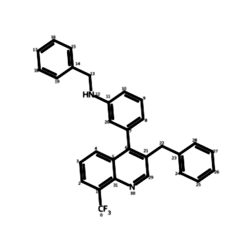 FC(F)(F)c1cccc2c(-c3cccc(NCc4c[c]ccc4)c3)c(Cc3ccccc3)cnc12